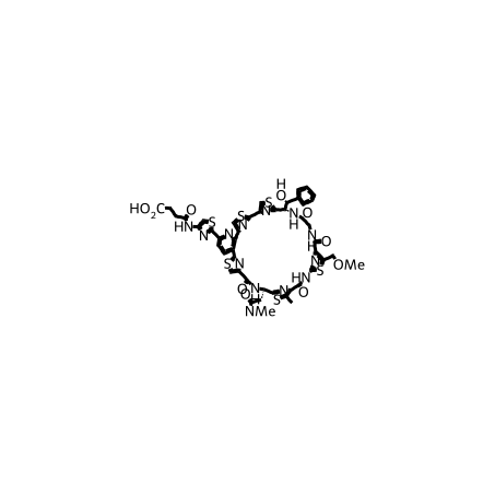 CNC(=O)C[C@@H]1NC(=O)c2csc(n2)-c2ccc(-c3nc(NC(=O)CCC(=O)O)cs3)nc2-c2csc(n2)-c2csc(n2)[C@H]([C@@H](O)c2ccccc2)NC(=O)CNC(=O)c2nc(sc2COC)NC(=O)c2nc1sc2C